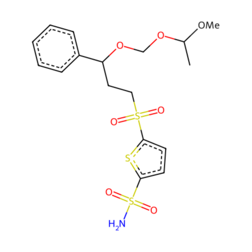 COC(C)OCOC(CCS(=O)(=O)c1ccc(S(N)(=O)=O)s1)c1ccccc1